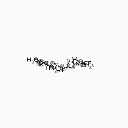 C[C@@H](Oc1ccc2c(n1)CCN(CC[C@]1(F)CC[C@@H](NC(=O)COc3cnn(C)c3)CC1)CC2)C(F)(F)F